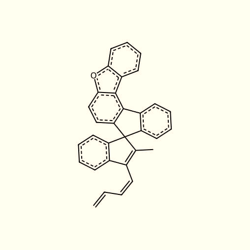 C=C/C=C\C1=C(C)C2(c3ccccc31)c1ccccc1-c1c2ccc2oc3ccccc3c12